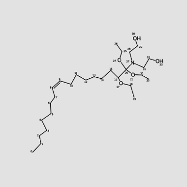 CCCCCCCC/C=C\CCCCCCC(OCC)C(OCC)(OCC)N(CCO)CCO